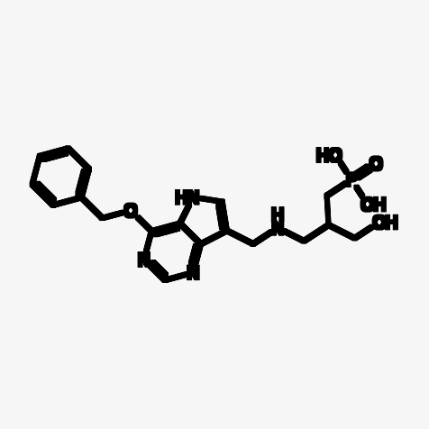 O=P(O)(O)CC(CO)CNCc1c[nH]c2c(OCc3ccccc3)ncnc12